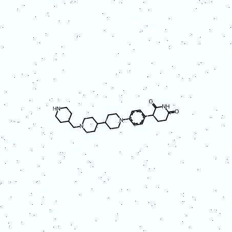 O=C1CCC(c2ccc(N3CCC(C4CCN(CC5CCNCC5)CC4)CC3)cc2)C(=O)N1